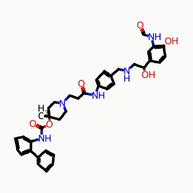 CC1(OC(=O)Nc2ccccc2-c2ccccc2)CCN(CCC(=O)Nc2ccc(CNCC(O)c3ccc(O)c(NC=O)c3)cc2)CC1